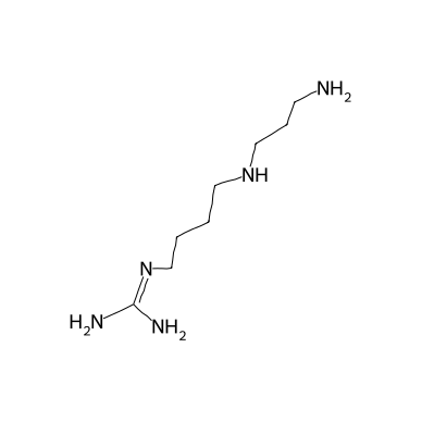 NCCCNCCCCN=C(N)N